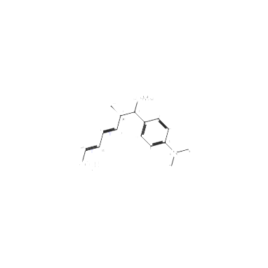 COC(c1ccc(N(C)C)cc1)[C@H](C)/C=C/C=C/C(=O)O